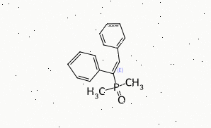 CP(C)(=O)/C(=C/c1ccccc1)c1ccccc1